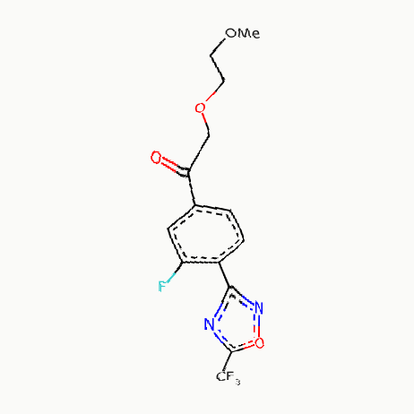 COCCOCC(=O)c1ccc(-c2noc(C(F)(F)F)n2)c(F)c1